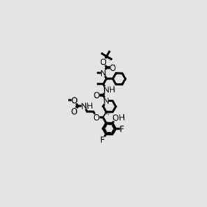 COC(=O)NCCOC(c1cc(F)cc(F)c1O)[C@@H]1CCCN(C(=O)NC(C)C(C2CCCCC2)N(C)C(=O)OC(C)(C)C)C1